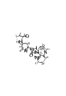 O=C1CCCN1c1ccnc(NC(=O)N2c3ncccc3N3CCC2C3)c1